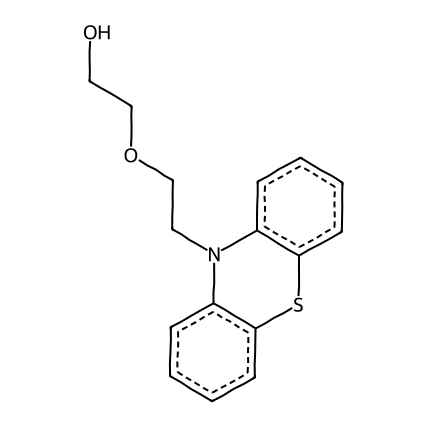 OCCOCCN1c2ccccc2Sc2ccccc21